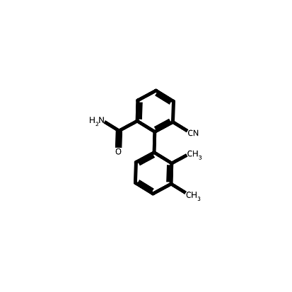 Cc1cccc(-c2c(C#N)cccc2C(N)=O)c1C